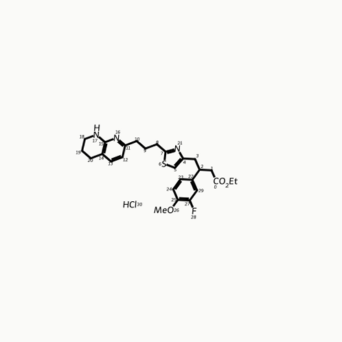 CCOC(=O)CC(Cc1csc(CCCc2ccc3c(n2)NCCC3)n1)c1ccc(OC)c(F)c1.Cl